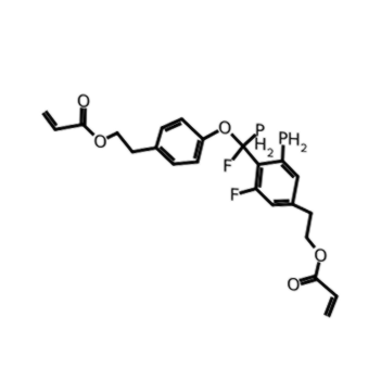 C=CC(=O)OCCc1ccc(OC(F)(P)c2c(F)cc(CCOC(=O)C=C)cc2P)cc1